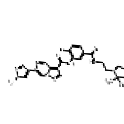 Cn1cc(-c2cn3ncc(C(=O)Nc4cc(C(=O)NCCN5CCCC5(C)C)ccc4F)c3cn2)cn1